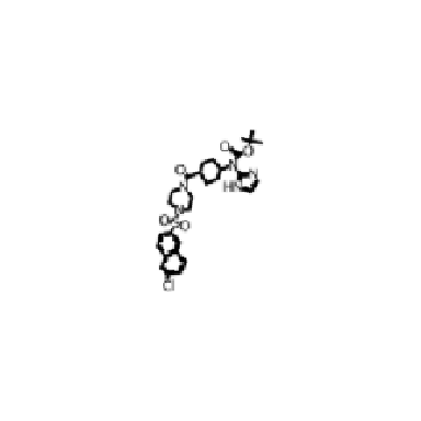 CC(C)(C)OC(=O)N(c1ncc[nH]1)C1CCC(C(=O)N2CCN(S(=O)(=O)c3ccc4cc(Cl)ccc4c3)CC2)CC1